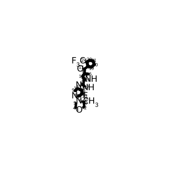 C[C@H]1COCCN1c1ncc2nc(-c3cc(C(=O)c4ccccc4C(F)(F)F)c[nH]3)[nH]c2c1F